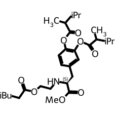 CCC(C)CC(=O)OCCN[C@@H](Cc1ccc(OC(=O)C(C)C(C)C)c(OC(=O)C(C)C(C)C)c1)C(=O)OC